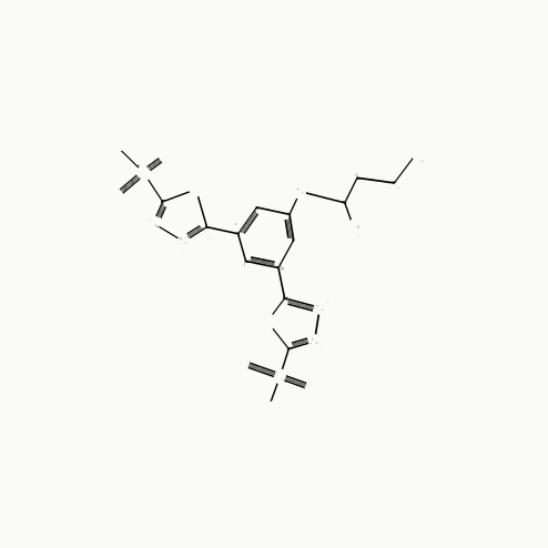 CS(=O)(=O)c1nnc(-c2cc(NC(O)CCC(=O)O)cc(-c3nnc(S(C)(=O)=O)o3)c2)o1